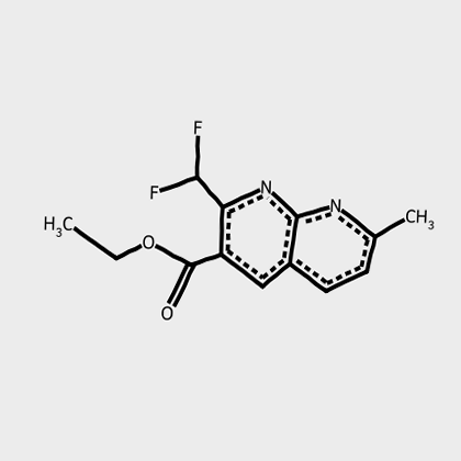 CCOC(=O)c1cc2ccc(C)nc2nc1C(F)F